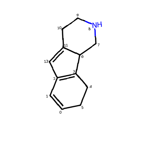 C1=CC2=C(CC1)C1CNCCC1=C2